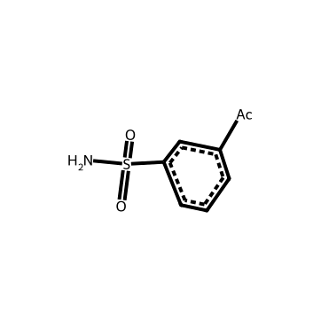 CC(=O)c1cccc(S(N)(=O)=O)c1